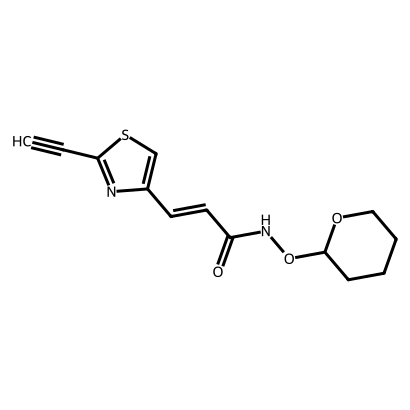 C#Cc1nc(/C=C/C(=O)NOC2CCCCO2)cs1